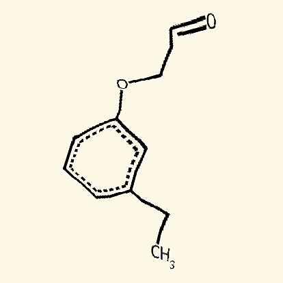 CCc1cccc(OCC=O)c1